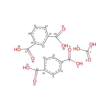 O=C(O)O.O=C(O)c1ccc(C(=O)O)cc1.O=C(O)c1cccc(C(=O)O)c1